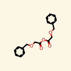 O=C(COCc1ccccc1)OC(=O)COCc1ccccc1